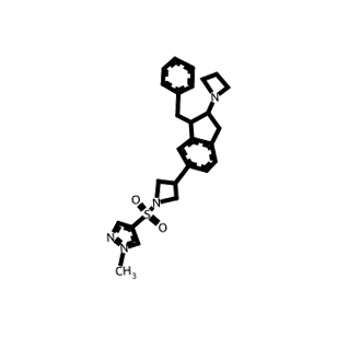 Cn1cc(S(=O)(=O)N2CC(c3ccc4c(c3)C(Cc3ccccc3)C(N3CCC3)C4)C2)cn1